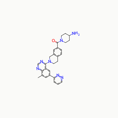 Cc1cc(-c2cccnn2)cc2c(N3CCc4ccc(C(=O)N5CCC(N)CC5)cc4C3)ncnc12